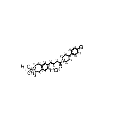 CC(C)N1CCc2ccc(C=CCC(=O)N3CCC(c4ccc(Cl)cc4)CC3)cc2CC1.Cl